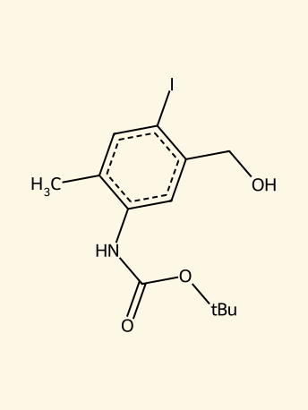 Cc1cc(I)c(CO)cc1NC(=O)OC(C)(C)C